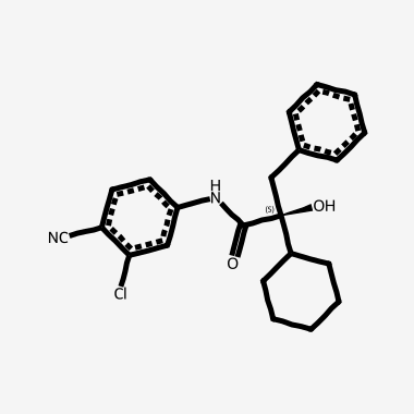 N#Cc1ccc(NC(=O)[C@](O)(Cc2ccccc2)C2CCCCC2)cc1Cl